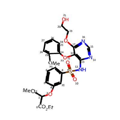 CCOC(=O)C(OC)Oc1cccc(S(=O)(=O)Nc2ncnc(OCCO)c2Oc2ccccc2OC)c1